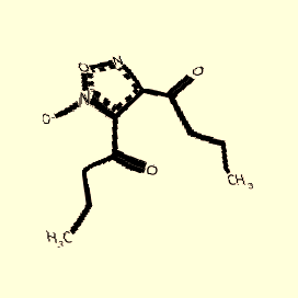 CCCC(=O)c1no[n+]([O-])c1C(=O)CCC